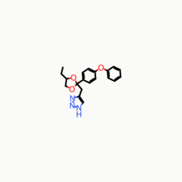 CCC1COC(Cc2c[nH]nn2)(c2ccc(Oc3ccccc3)cc2)O1